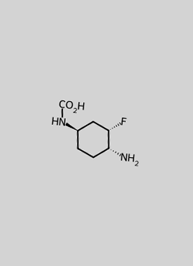 N[C@@H]1CC[C@@H](NC(=O)O)C[C@@H]1F